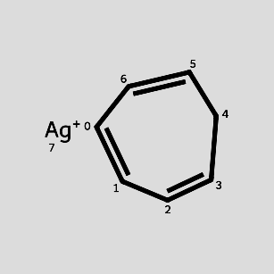 C1=CC=CCC=C1.[Ag+]